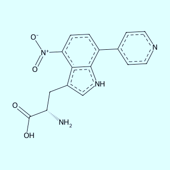 N[C@@H](Cc1c[nH]c2c(-c3ccncc3)ccc([N+](=O)[O-])c12)C(=O)O